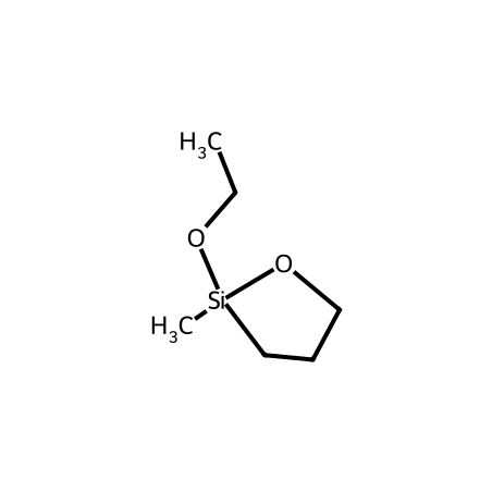 CCO[Si]1(C)CCCO1